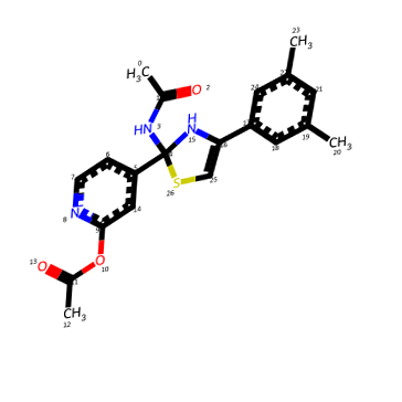 CC(=O)NC1(c2ccnc(OC(C)=O)c2)NC(c2cc(C)cc(C)c2)=CS1